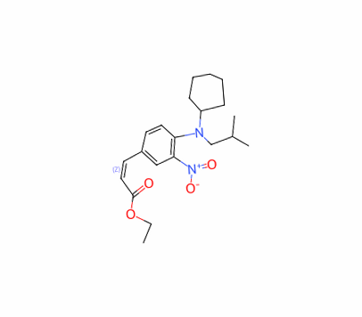 CCOC(=O)/C=C\c1ccc(N(CC(C)C)C2CCCCC2)c([N+](=O)[O-])c1